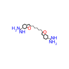 N=C(N)c1ccc2cc(CCCCCc3cc4ccc(C(=N)N)cc4o3)oc2c1